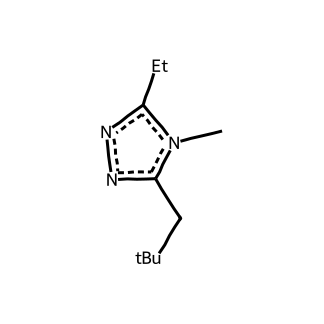 CCc1nnc(CC(C)(C)C)n1C